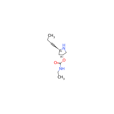 CCC#C[C@@H]1C[C@@H](OC(=O)NCC)CN1